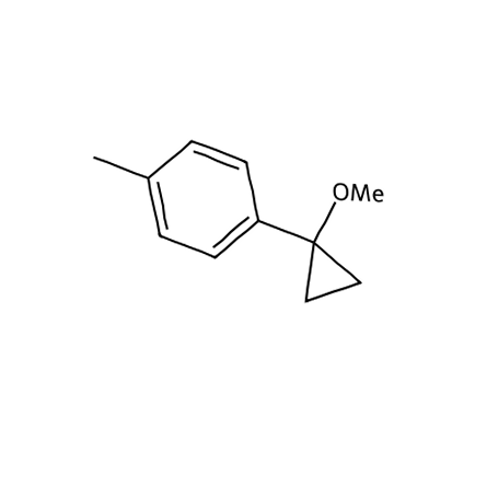 COC1(c2ccc(C)cc2)CC1